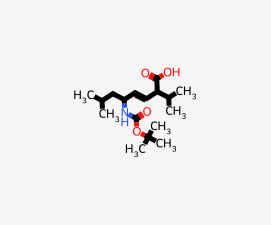 CC(C)CC(/C=C/C(C(=O)O)C(C)C)NC(=O)OC(C)(C)C